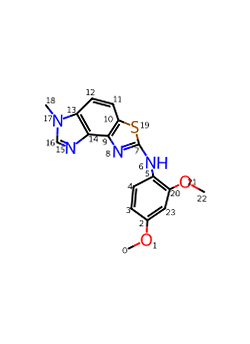 COc1ccc(Nc2nc3c(ccc4c3ncn4C)s2)c(OC)c1